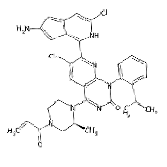 C=CC(=O)N1CCN(c2nc(=O)n(-c3ccccc3C(C)C)c3nc(-c4[nH]c(Cl)cc5cc(N)cc4-5)c(Cl)cc23)[C@@H](C)C1